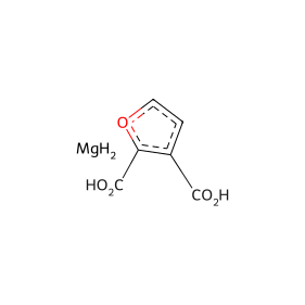 O=C(O)c1ccoc1C(=O)O.[MgH2]